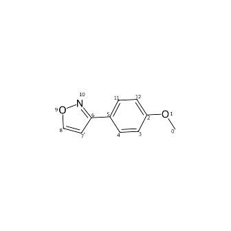 COc1ccc(-c2[c]con2)cc1